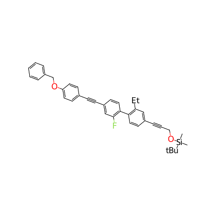 CCc1cc(C#CCO[Si](C)(C)C(C)(C)C)ccc1-c1ccc(C#Cc2ccc(OCc3ccccc3)cc2)cc1F